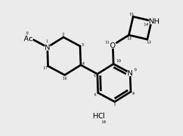 CC(=O)N1CCC(c2cccnc2OC2CNC2)CC1.Cl